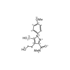 CNC(=O)c1nn(-c2ccc(OC)cc2)c(C(=O)O)c1CCO